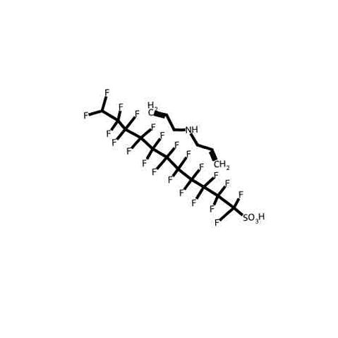 C=CCNCC=C.O=S(=O)(O)C(F)(F)C(F)(F)C(F)(F)C(F)(F)C(F)(F)C(F)(F)C(F)(F)C(F)(F)C(F)(F)C(F)(F)C(F)F